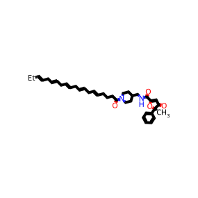 CCC=CCC=CCC=CCC=CCC=CCCCC(=O)N1CCC(CNC(=O)C2=CC(=O)C(C)(c3ccccc3)O2)CC1